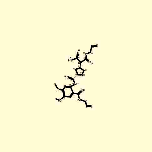 C=CCOC(=O)c1cc(OC)c(OC)cc1NC(=O)[C@@H]1C[C@@H](C(C(=O)S)C(=O)OCC=C)CN1